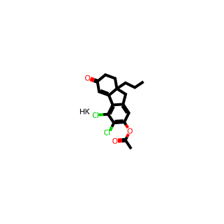 CCCC12CCC(=O)C=C1c1c(cc(OC(C)=O)c(Cl)c1Cl)C2.[KH]